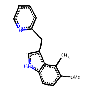 COc1ccc2[nH][c]c(Cc3ccccn3)c2c1C